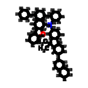 CC1(C)c2cc(-c3ccc4ccccc4c3)ccc2-c2ccc(N(c3ccccc3-c3ccc(-c4ccccc4)cc3)c3cccc4c3oc3ccccc34)cc21